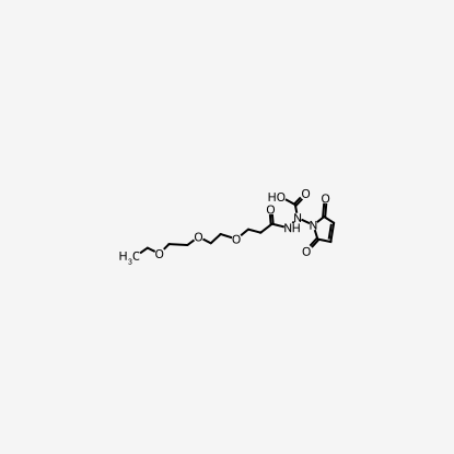 CCOCCOCCOCCC(=O)NN(C(=O)O)N1C(=O)C=CC1=O